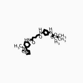 CN(C)C1(c2cccs2)CCC(NC(=O)CCCC(=O)Nc2ccc(NC(=O)OC(C)(C)C)cc2)CC1